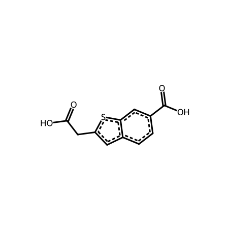 O=C(O)Cc1cc2ccc(C(=O)O)cc2s1